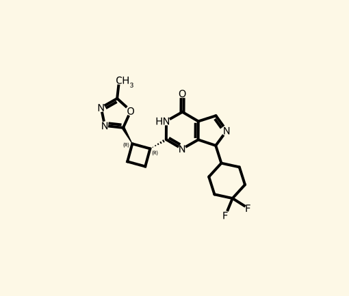 Cc1nnc([C@@H]2CC[C@H]2c2nc3c(c(=O)[nH]2)C=NC3C2CCC(F)(F)CC2)o1